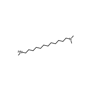 CNCCCCCCCCCCCCN(C)C